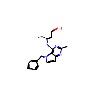 CCC[C@@H](CCO)Nc1nc(C)nc2ccn(Cc3ccccc3)c12